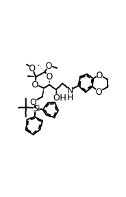 CO[C@@]1(C)O[C@H]([C@H](O)CNc2ccc3c(c2)OCCO3)[C@@H](CO[Si](c2ccccc2)(c2ccccc2)C(C)(C)C)O[C@]1(C)OC